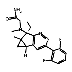 CC[C@]1(N(C)CC(N)=O)c2nnc(-c3c(F)cccc3F)cc2[C@@H]2CC21C